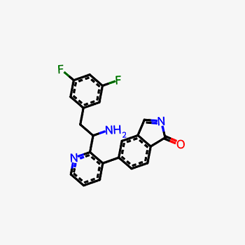 NC(Cc1cc(F)cc(F)c1)c1ncccc1-c1ccc2c(c1)C=NC2=O